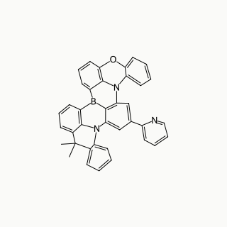 CC1(C)c2ccccc2N2c3cc(-c4ccccn4)cc4c3B(c3cccc5c3N4c3ccccc3O5)c3cccc1c32